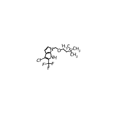 C[Si](C)(C)CCOCn1ccc2c(Cl)c(C(F)(F)F)[nH]c21